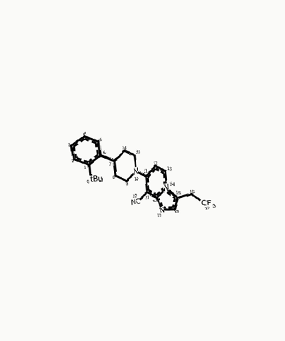 CC(C)(C)c1ccccc1C1CCN(c2ccn3c(CC(F)(F)F)cnc3c2C#N)CC1